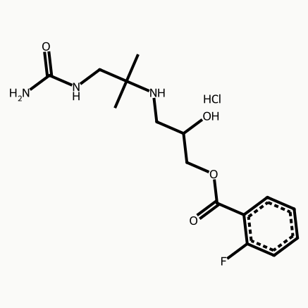 CC(C)(CNC(N)=O)NCC(O)COC(=O)c1ccccc1F.Cl